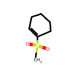 CS(=O)(=O)C1=CCCCC1